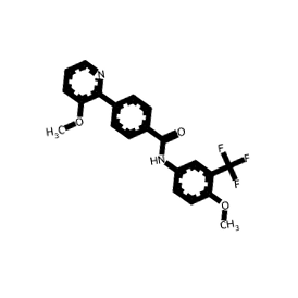 COc1ccc(NC(=O)c2ccc(-c3ncccc3OC)cc2)cc1C(F)(F)F